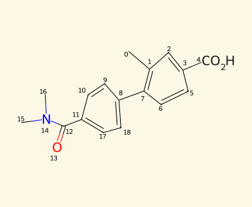 Cc1cc(C(=O)O)ccc1-c1ccc(C(=O)N(C)C)cc1